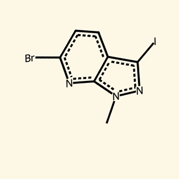 Cn1nc(I)c2ccc(Br)nc21